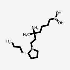 CCCC[C@H]1CCCN1CCC(C)(N)CCCCB(O)O